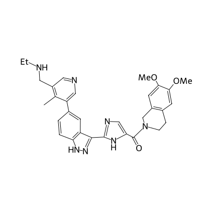 CCNCc1cncc(-c2ccc3[nH]nc(-c4ncc(C(=O)N5CCc6cc(OC)c(OC)cc6C5)[nH]4)c3c2)c1C